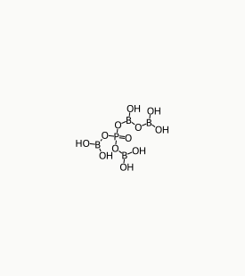 O=P(OB(O)O)(OB(O)O)OB(O)OB(O)O